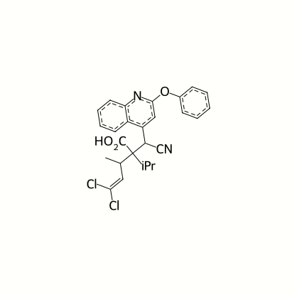 CC(C)C(C(=O)O)(C(C)C=C(Cl)Cl)C(C#N)c1cc(Oc2ccccc2)nc2ccccc12